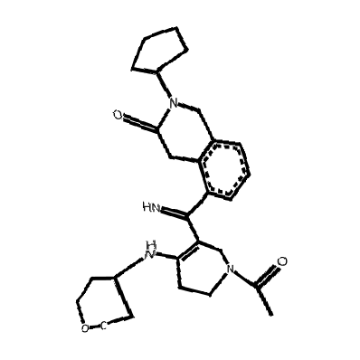 CC(=O)N1CCC(NC2CCOCC2)=C(C(=N)c2cccc3c2CC(=O)N(C2CCCC2)C3)C1